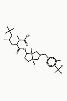 C[C@@H](CC(C(=O)N[C@@H]1CC[C@H]2CN(Cc3ccc(C(F)(F)F)c(F)c3)C[C@H]21)N(C)C(=O)O)CC(C)(C)C